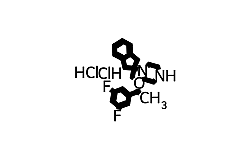 CC(OCC1(N2CCNCC2)Cc2ccccc2C1)c1cc(F)cc(F)c1.Cl.Cl